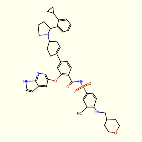 N#Cc1cc(S(=O)(=O)NC(=O)c2ccc(C3=CCC(N4CCCC4c4ccccc4C4CC4)CC3)cc2Oc2cnc3[nH]ccc3c2)ccc1NCC1CCOCC1